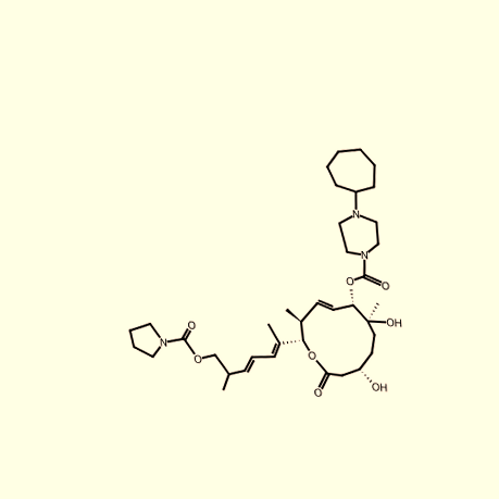 C/C(=C\C=C\C(C)COC(=O)N1CCCC1)[C@H]1OC(=O)C[C@@H](O)CC[C@](C)(O)[C@@H](OC(=O)N2CCN(C3CCCCCC3)CC2)/C=C/[C@@H]1C